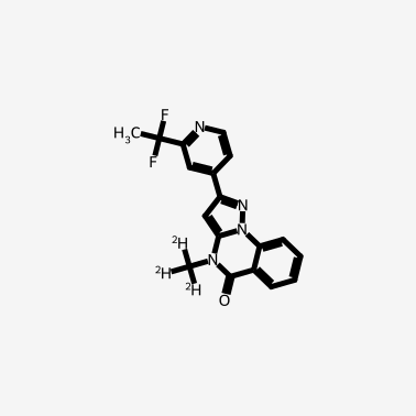 [2H]C([2H])([2H])n1c(=O)c2ccccc2n2nc(-c3ccnc(C(C)(F)F)c3)cc12